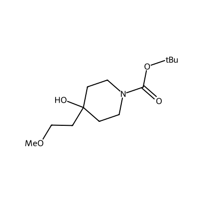 COCCC1(O)CCN(C(=O)OC(C)(C)C)CC1